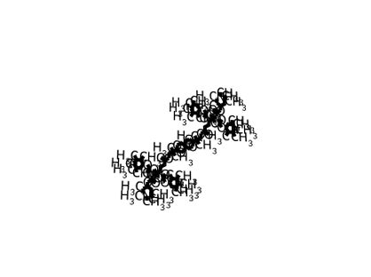 CC1C(OC(=O)OC(CCCC(=O)OCC(C)(C)C2OCC3(CO2)COC(C(C)(C)COC(=O)CCCC(OC(=O)OC2CC(C)(C)N(C)C(C)C2C)(OC(=O)OC2CC(C)(C)N(C)C(C)C2C)OC(=O)OC2CC(C)(C)N(C)C(C)C2C)OC3)(OC(=O)OC2CC(C)(C)N(C)C(C)C2C)OC(=O)OC2CC(C)(C)N(C)C(C)C2C)CC(C)(C)N(C)C1C